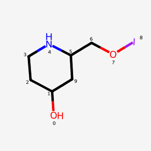 OC1CCNC(COI)C1